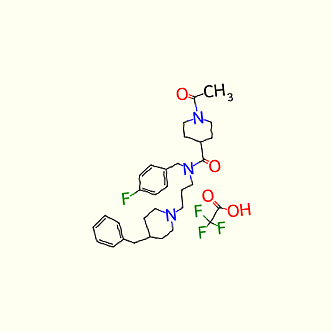 CC(=O)N1CCC(C(=O)N(CCCN2CCC(Cc3ccccc3)CC2)Cc2ccc(F)cc2)CC1.O=C(O)C(F)(F)F